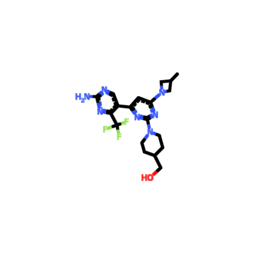 CC1CN(c2cc(-c3cnc(N)nc3C(F)(F)F)nc(N3CCC(CO)CC3)n2)C1